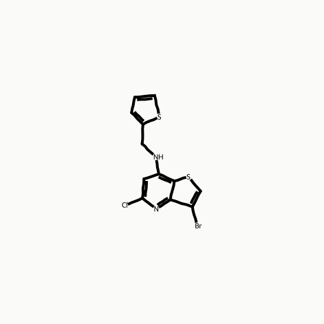 Clc1cc(NCc2cccs2)c2scc(Br)c2n1